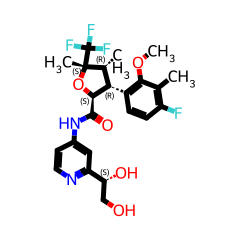 COc1c([C@@H]2[C@@H](C(=O)Nc3ccnc([C@H](O)CO)c3)O[C@](C)(C(F)(F)F)[C@@H]2C)ccc(F)c1C